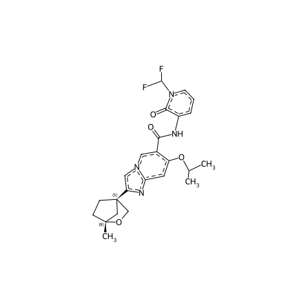 CC(C)Oc1cc2nc([C@]34CC[C@](C)(C3)OC4)cn2cc1C(=O)Nc1cccn(C(F)F)c1=O